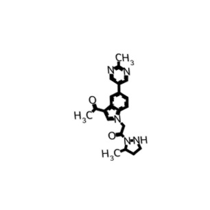 CC(=O)c1cn(CC(=O)N2NCCC2C)c2ccc(-c3cnc(C)nc3)cc12